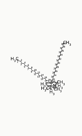 CCCCCCCCCCCCCCCCCCCCP(CCCCCCCCCCCCCCCCCCCC)(CC(C)C)(CC(C)C)CC(C)C